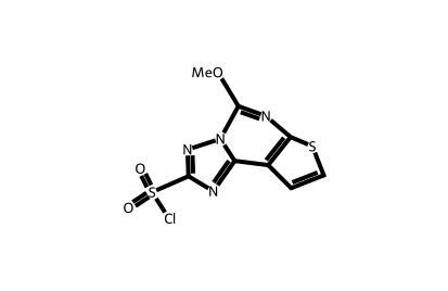 COc1nc2sccc2c2nc(S(=O)(=O)Cl)nn12